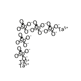 [O]=[Sb]([O-])([O-])[O-].[O]=[Sb]([O-])([O-])[O-].[O]=[Sb]([O-])([O-])[O-].[O]=[Sb]([O-])([O-])[O-].[O]=[Sb]([O-])([O-])[O-].[Ta+5].[Ta+5].[Ta+5]